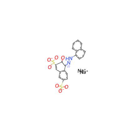 O=C1C(S(=O)(=O)[O-])=Cc2cc(S(=O)(=O)[O-])ccc2/C1=N/Nc1cccc2ccccc12.[Na+].[Na+]